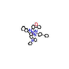 c1ccc(-c2ccc(-c3nc(-c4c(-n5c6ccccc6c6cc7ccccc7cc65)ccc5oc6ccccc6c45)nc(-c4cccc5c4c4ccccc4n5-c4ccccc4)n3)cc2)cc1